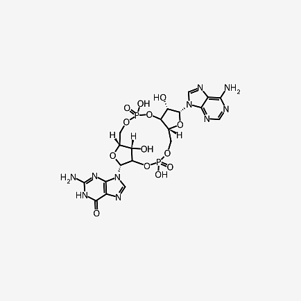 Nc1nc2c(ncn2[C@@H]2O[C@@H]3COP(=O)(O)OC4[C@@H](COP(=O)(O)OC2[C@H]3O)O[C@@H](n2cnc3c(N)ncnc32)[C@H]4O)c(=O)[nH]1